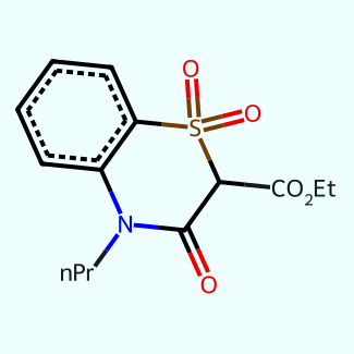 CCCN1C(=O)C(C(=O)OCC)S(=O)(=O)c2ccccc21